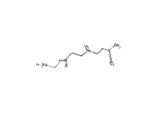 NCCNCCNCCC(N)=O